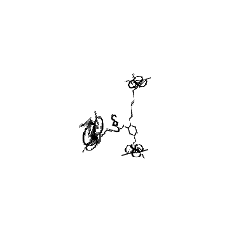 CCO[Si](CCCCCCC1CCC(CC[Si](OCC)(OCC)OCC)CC1CCS(=S)CCC[Si](OCC)(OCC)OCC)(OCC)OCC